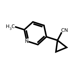 Cc1ccc(C2(C#N)CC2)cn1